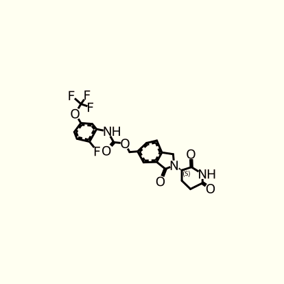 O=C1CC[C@H](N2Cc3ccc(COC(=O)Nc4cc(OC(F)(F)F)ccc4F)cc3C2=O)C(=O)N1